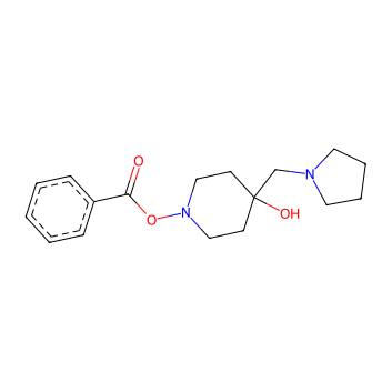 O=C(ON1CCC(O)(CN2CCCC2)CC1)c1ccccc1